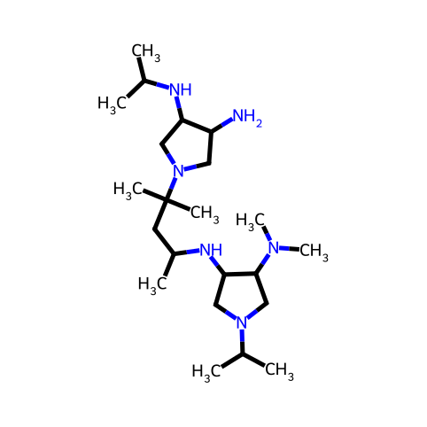 CC(C)NC1CN(C(C)(C)CC(C)NC2CN(C(C)C)CC2N(C)C)CC1N